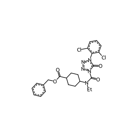 CCN(C(=O)n1nnn(-c2c(Cl)cccc2Cl)c1=O)C1CCC(C(=O)OCc2ccccc2)CC1